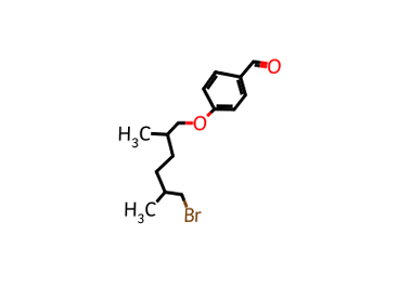 CC(CBr)CCC(C)COc1ccc(C=O)cc1